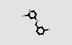 Fc1cccc([CH]Oc2ccnc(F)c2)c1